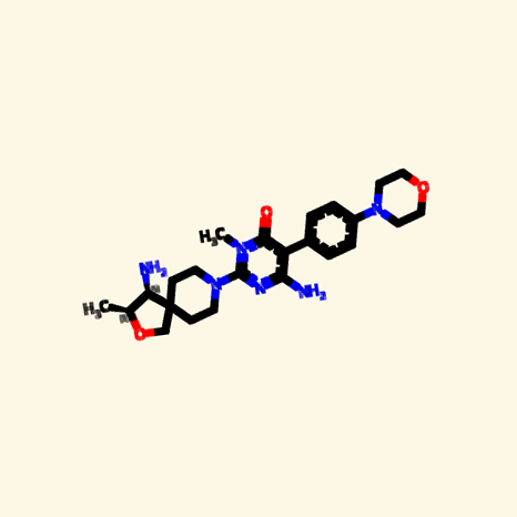 C[C@@H]1OCC2(CCN(c3nc(N)c(-c4ccc(N5CCOCC5)cc4)c(=O)n3C)CC2)[C@@H]1N